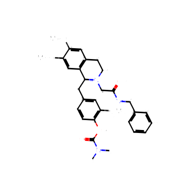 COc1cc2c(cc1OC)C(Cc1ccc(OC(=O)N(C)C)c(OC)c1)N(CC(=O)NCc1ccccc1)CC2